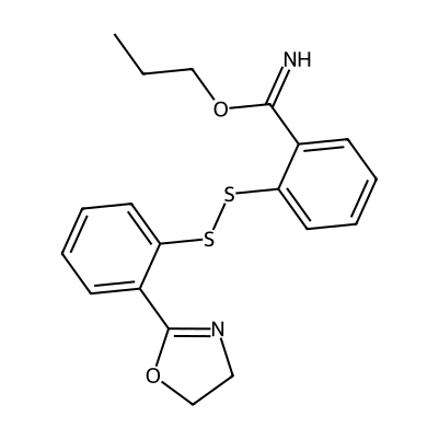 CCCOC(=N)c1ccccc1SSc1ccccc1C1=NCCO1